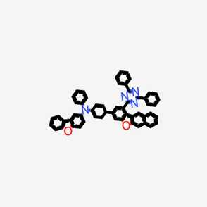 C1=CC(c2cc(-c3nc(-c4ccccc4)nc(-c4ccccc4)n3)c3c(c2)oc2cc4ccccc4cc23)CC=C1N(c1ccccc1)c1ccc2oc3ccccc3c2c1